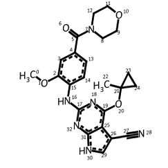 COc1cc(C(=O)N2CCOCC2)ccc1Nc1nc(OC2(C)CC2)c2c(C#N)c[nH]c2n1